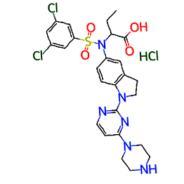 CCC(C(=O)O)N(c1ccc2c(c1)CCN2c1nccc(N2CCNCC2)n1)S(=O)(=O)c1cc(Cl)cc(Cl)c1.Cl